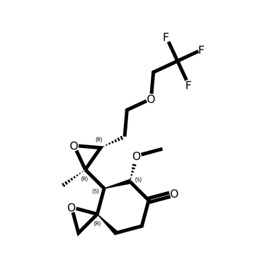 CO[C@@H]1C(=O)CC[C@]2(CO2)[C@H]1[C@@]1(C)O[C@@H]1CCOCC(F)(F)F